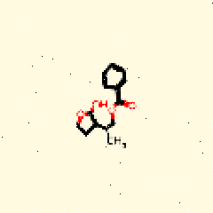 C[C@H](COC(=O)c1ccccc1)C1CCOC1O